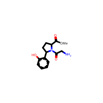 COC(=O)C1CCC(c2ccccc2O)N1C(=O)CN